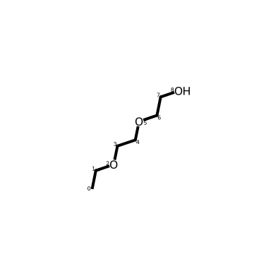 C[CH]OCCOCCO